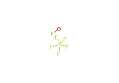 F[S+](F)(F)(F)F.[O-]F